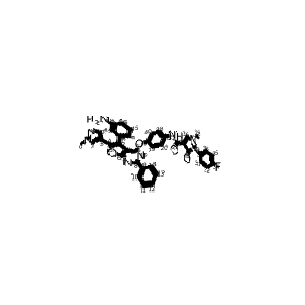 Cn1cc(-c2oc3nc(-c4ccccc4)nc(Oc4ccc(NC(=O)c5cn(C)n(-c6ccc(F)cc6)c5=O)cc4)c3c2-c2cccc(N)c2)cn1